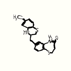 Cc1ccc2c(c1)NC(Cc1ccc3c(c1)NC(=O)CCS3)CS2